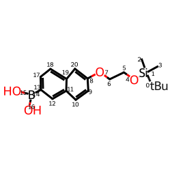 CC(C)(C)[Si](C)(C)OCCOc1ccc2cc(B(O)O)ccc2c1